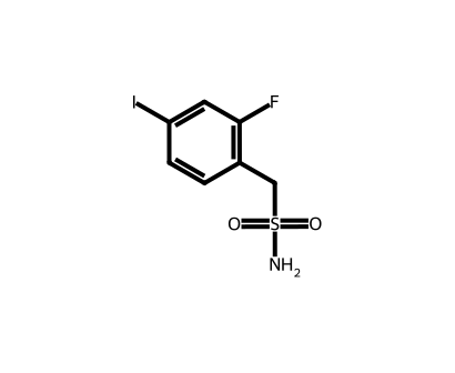 NS(=O)(=O)Cc1ccc(I)cc1F